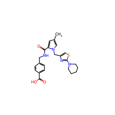 Cc1cc(C(=O)NCc2ccc(C(=O)O)cc2)n(Cc2csc(N3CCCCC3)n2)c1